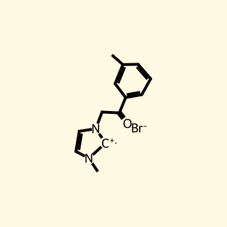 Cc1cccc(C(=O)CN2[C+]N(C)C=C2)c1.[Br-]